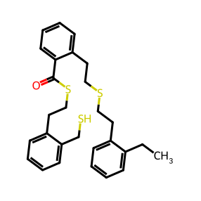 CCc1ccccc1CCSCCc1ccccc1C(=O)SCCc1ccccc1CS